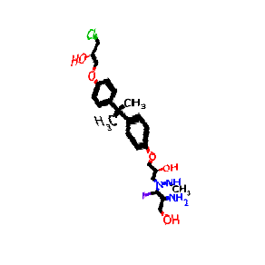 CNN(C[C@H](O)COc1ccc(C(C)(C)c2ccc(OC[C@H](O)CCl)cc2)cc1)/C(I)=C(\N)CO